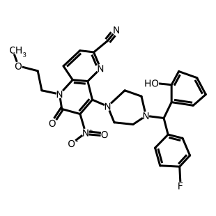 COCCn1c(=O)c([N+](=O)[O-])c(N2CCN(C(c3ccc(F)cc3)c3ccccc3O)CC2)c2nc(C#N)ccc21